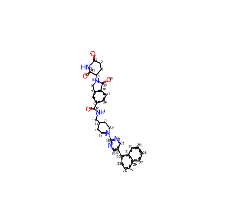 O=C1CCC(N2Cc3cc(C(=O)NCC4CCN(c5ncc(-c6cccc7ccccc67)cn5)CC4)ccc3C2=O)C(=O)N1